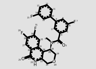 CN(C(=O)c1cc(F)cc(-c2cccc(F)c2)c1)[C@H]1COCc2[nH]c(=O)c3cc(F)c(F)cc3c21